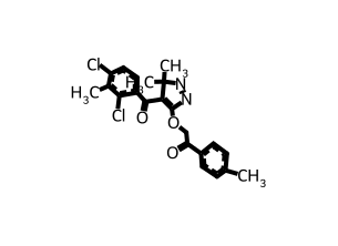 Cc1ccc(C(=O)COC2=C(C(=O)c3ccc(Cl)c(C)c3Cl)C(C)(C)N=N2)cc1